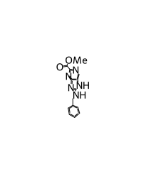 COC(=O)c1ncc2[nH]c(NCc3ccccc3)nc2n1